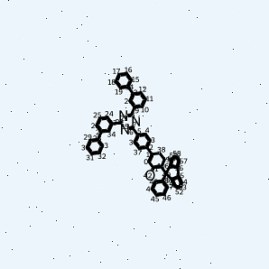 C1=C(c2ccc(-c3nc(-c4cccc(-c5ccccc5)c4)nc(-c4cccc(-c5ccccc5)c4)n3)cc2)CCC2=C1Oc1ccccc1C21c2ccccc2-c2ccccc21